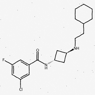 O=C(N[C@H]1C[C@H](NCCC2CCCCC2)C1)c1cc(F)cc(Cl)c1